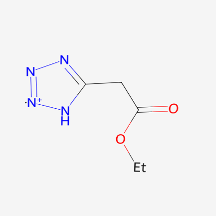 CCOC(=O)CC1=NN=[N+]N1